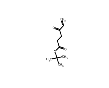 C=CC(=O)CCC(=O)OC(C)(C)C